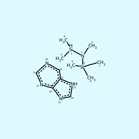 CN([SiH](C)C)[Si](C)(C)C.c1ncc2[nH]cnc2n1